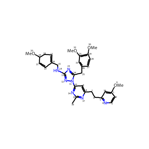 COc1ccnc(CCc2cc(-n3nc(NCC4=CCC(OC)C=C4)nc3Cc3ccc(OC)c(OC)c3)nc(C)n2)c1